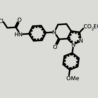 CCOC(=O)c1nn(-c2ccc(OC)cc2)c2c1CCN(c1ccc(NC(=O)CCl)cc1)C2=O